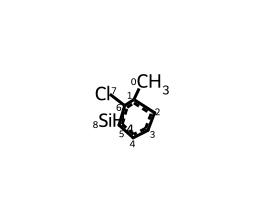 Cc1ccccc1Cl.[SiH4]